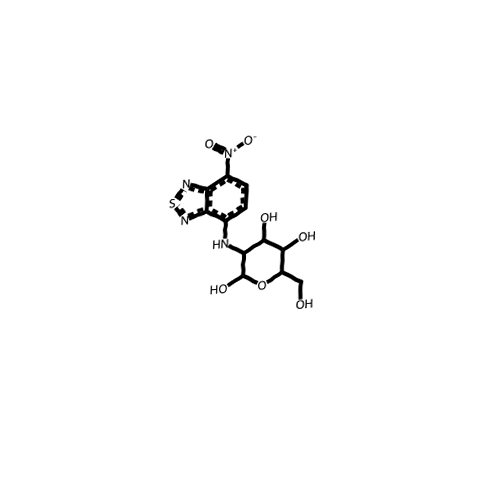 O=[N+]([O-])c1ccc(NC2C(O)OC(CO)C(O)C2O)c2nsnc12